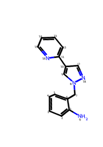 Nc1ccccc1Cn1cc(-c2ccccn2)cn1